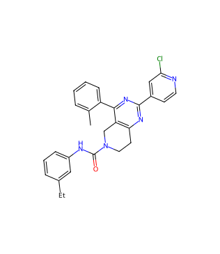 CCc1cccc(NC(=O)N2CCc3nc(-c4ccnc(Cl)c4)nc(-c4ccccc4C)c3C2)c1